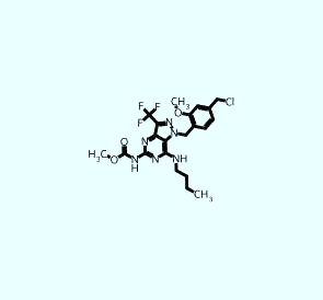 CCCCNc1nc(NC(=O)OC)nc2c(C(F)(F)F)nn(Cc3ccc(CCl)cc3OC)c12